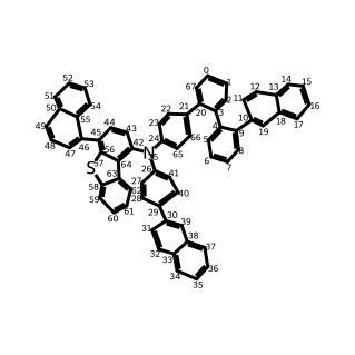 c1ccc(-c2ccccc2-c2ccc3ccccc3c2)c(-c2ccc(N(c3ccc(-c4ccc5ccccc5c4)cc3)c3ccc(-c4cccc5ccccc45)c4sc5ccccc5c34)cc2)c1